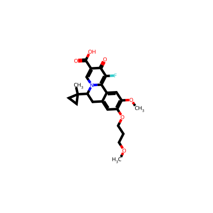 COCCCOc1cc2c(cc1OC)-c1c(F)c(=O)c(C(=O)O)cn1C(C1(C)CC1)C2